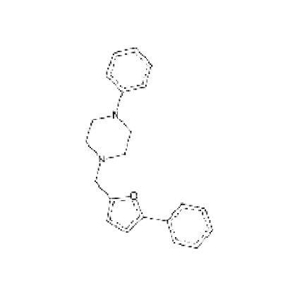 c1ccc(-c2ccc(CN3CCN(c4ccccc4)CC3)o2)cc1